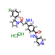 Cl.Cl.N[C@@H](CC(=O)N1CCC[C@H]1c1cccc(F)c1)c1ccc(C(=O)Nc2ccncc2)cc1